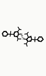 CC(C)c1cc(C(C)(C)c2ccccc2)cc(C(C)C)c1N=C=Nc1c(C(C)C)cc(C(C)(C)c2ccccc2)cc1C(C)C